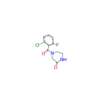 O=C1CN(C(=O)c2c(F)cccc2Cl)CCN1